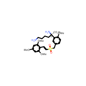 COc1cc(OC)c(C=CS(=O)(=O)Cc2ccc(OC)c([C@](N)(CCCCN)C(=O)O)c2)c(OC)c1